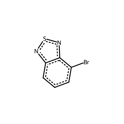 Brc1cccc2nsnc12